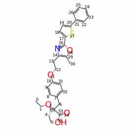 CCO[C@@](CC)(Cc1ccc(OCCc2nc(-c3ccc(-c4ccccc4)s3)oc2C)cc1)C(=O)O